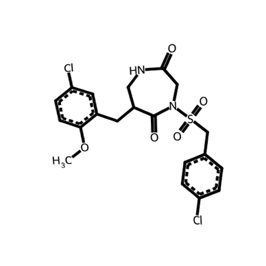 COc1ccc(Cl)cc1CC1CNC(=O)CN(S(=O)(=O)Cc2ccc(Cl)cc2)C1=O